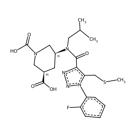 CSCc1c(C(=O)N(CC(C)C)[C@H]2C[C@@H](C(=O)O)CN(C(=O)O)C2)nnn1-c1ccccc1F